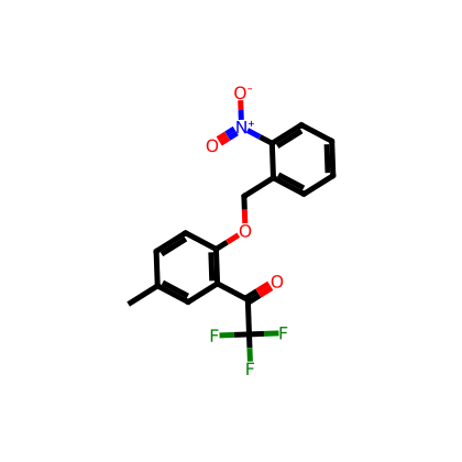 Cc1ccc(OCc2ccccc2[N+](=O)[O-])c(C(=O)C(F)(F)F)c1